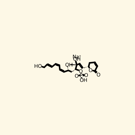 C[C@@](O)(/C=C/[C@@H]1CC=CC(=O)O1)[C@@H](C[C@@H](O)\C=C/C=C\C=C\CO)OP(=O)([O-])O.[Na+]